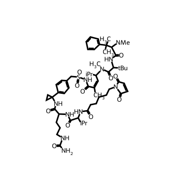 CNC(C(=O)NC(C(=O)N(C)C(C=C(C)C(=O)NS(=O)(=O)Cc1ccc(C2(NC(=O)C(CCCNC(N)=O)NC(=O)C(NC(=O)CCCCCN3C(=O)C=CC3=O)C(C)C)CC2)cc1)C(C)C)C(C)(C)C)C(C)(C)c1ccccc1